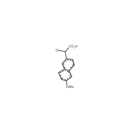 COc1ccc2cc(C(Cl)C(=O)O)ccc2c1